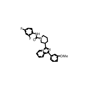 COc1cccc(-c2nc(C3CCCN(C(=O)Nc4ccc(F)cc4F)C3)n3ccccc23)c1